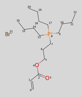 C=CC(=O)OCCC[P+](CCCC)(CCCC)CCCC.[Br-]